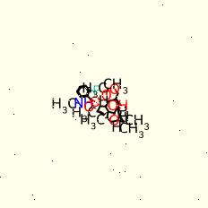 CNc1cccc(F)c1C(=O)O[C@H]1C(C)=C[C@]23C(=O)[C@@H](C=C4COC(C)(C)O[C@H]4[C@]12O)[C@H]1[C@@H](C[C@H]3C)C1(C)C